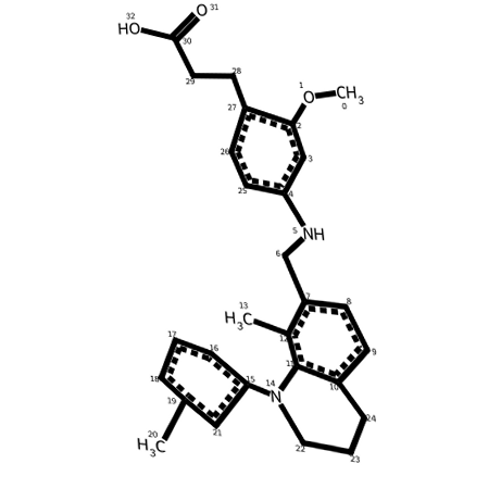 COc1cc(NCc2ccc3c(c2C)N(c2cccc(C)c2)CCC3)ccc1CCC(=O)O